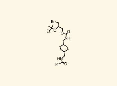 CCC(C)(C)OC(CBr)COC(=O)NCC1CCC(CNC(=O)C(C)C)CC1